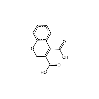 O=C(O)C1=C(C(=O)O)c2ccccc2OC1